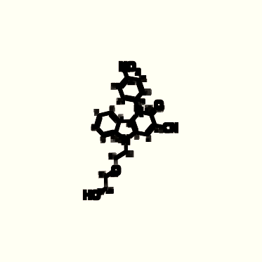 N#Cc1cc2c(c3ccccc3n2CCOCCO)n(-c2ccc([N+](=O)[O-])cc2)c1=O